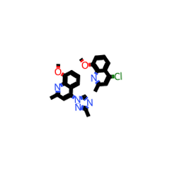 COc1cccc2c(-n3cnc(C)n3)cc(C)nc12.COc1cccc2c(Cl)cc(C)nc12